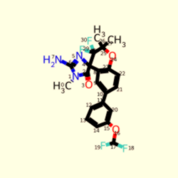 CN1C(=O)C2(N=C1N)c1cc(-c3cccc(OC(F)F)c3)ccc1OC(C)(C)C2(F)F